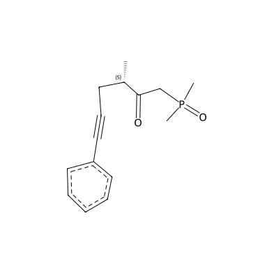 C[C@@H](CC#Cc1ccccc1)C(=O)CP(C)(C)=O